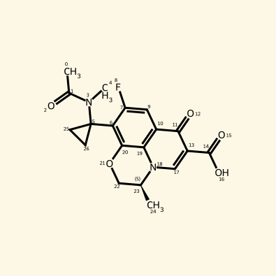 CC(=O)N(C)C1(c2c(F)cc3c(=O)c(C(=O)O)cn4c3c2OC[C@@H]4C)CC1